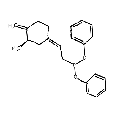 C=C1CC/C(=C/CP(Oc2ccccc2)Oc2ccccc2)C[C@H]1C